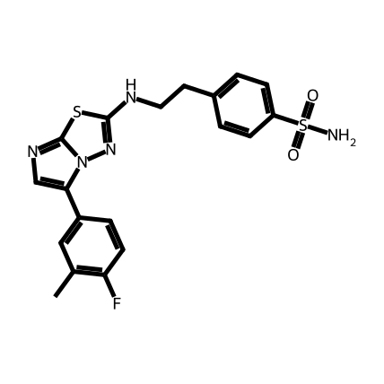 Cc1cc(-c2cnc3sc(NCCc4ccc(S(N)(=O)=O)cc4)nn23)ccc1F